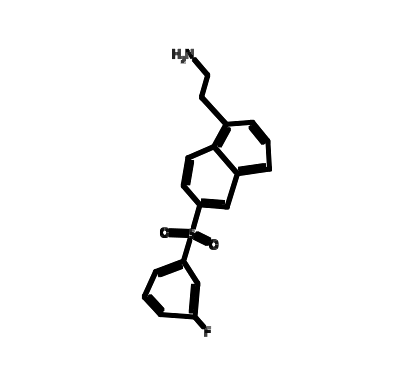 NCCc1cccc2cc(S(=O)(=O)c3cccc(F)c3)ccc12